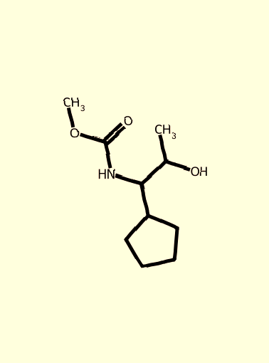 COC(=O)NC(C(C)O)C1CCCC1